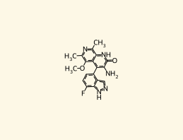 COc1c(C)nc(C)c2[nH]c(=O)c(N)c(-c3ccc(F)c4[nH]ncc34)c12